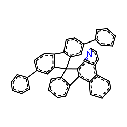 c1ccc(-c2ccc3c(c2)C2(c4cc(-c5ccccc5)ccc4-3)c3ccccc3-c3c2c2ncccc2c2ccccc32)cc1